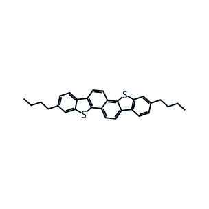 CCCCc1ccc2c(c1)sc1c2ccc2c1ccc1c3ccc(CCCC)cc3sc12